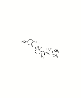 C=C1CC[C@H](O)C/C1=C/C=C1\CCC[C@]2(C)[C@@H]([C@H](F)/C=C/[C@H](C)C(C)C)CC[C@@H]12